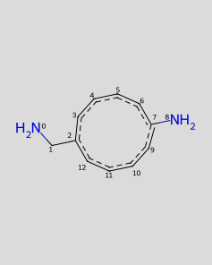 NCc1ccccc(N)cccc1